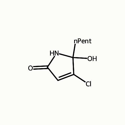 CCCCCC1(O)NC(=O)C=C1Cl